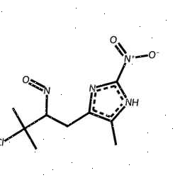 Cc1[nH]c([N+](=O)[O-])nc1CC(N=O)C(C)(C)Cl